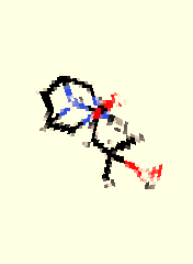 CCN1CC2CC(C1)N2C(=O)CC(C)(C)O